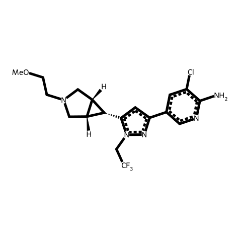 COCCN1C[C@@H]2[C@H](C1)[C@@H]2c1cc(-c2cnc(N)c(Cl)c2)nn1CC(F)(F)F